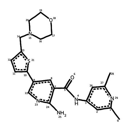 Cc1cc(NC(=O)c2cc(-c3ccc(CN4CCOCC4)s3)cnc2N)cc(C)n1